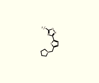 FC(F)(F)c1nc(-c2ccc(CN3CCCC3)s2)no1